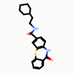 O=C(NCCC1CCCCC1)c1ccc2c(c1)Sc1ccccc1C(=O)N2